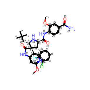 COc1cc2c(cn1)[C@@]1(C(=O)N2)[C@H](CC(C)(C)C)N[C@@H](C(=O)Nc2ccc(C(N)=O)cc2OC)[C@@H]1c1cccc(Cl)c1F